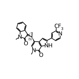 CN1C(=O)[C@@]2(C[C@H]2c2cn(C)c(=O)c3[nH]c(-c4ccnc(C(F)(F)F)c4)cc23)c2ccccc21